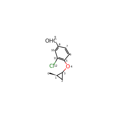 C[C@@H]1CC1Oc1ccc(C=O)cc1Cl